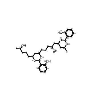 CC(O)CCCC1CC(CCCC(O)CC2CC(C)OC(c3ccccc3O)O2)OC(c2ccccc2O)O1